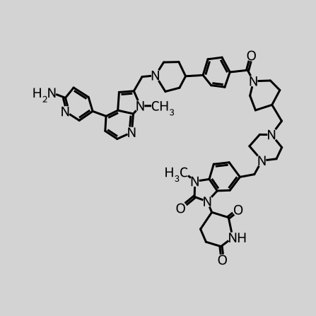 Cn1c(CN2CCC(c3ccc(C(=O)N4CCC(CN5CCN(Cc6ccc7c(c6)n(C6CCC(=O)NC6=O)c(=O)n7C)CC5)CC4)cc3)CC2)cc2c(-c3ccc(N)nc3)ccnc21